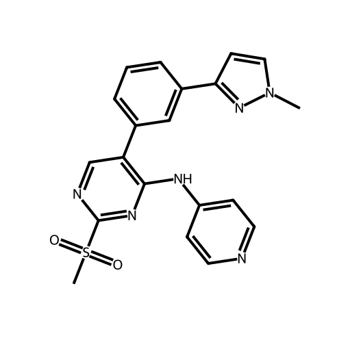 Cn1ccc(-c2cccc(-c3cnc(S(C)(=O)=O)nc3Nc3ccncc3)c2)n1